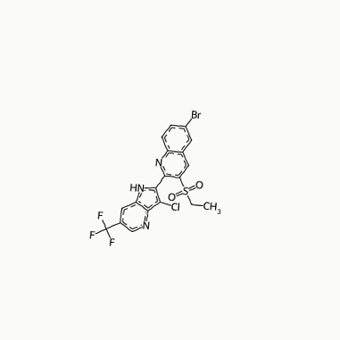 CCS(=O)(=O)c1cc2cc(Br)ccc2nc1-c1[nH]c2cc(C(F)(F)F)cnc2c1Cl